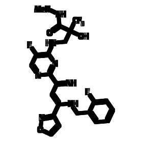 CNNC(=O)C(O)(CNc1nc(C(=N)/C=C(\NCc2ccccc2F)c2ccon2)ncc1F)C(F)(F)F